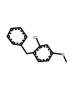 COc1ccc(Cc2cc[c]cc2)c(Cl)c1